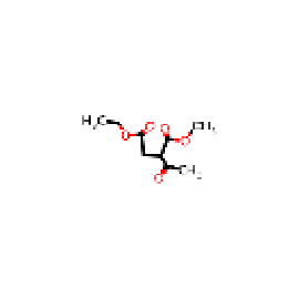 CCOC(=O)CC(C(C)=O)C(=O)OC